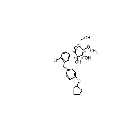 CO[C@H]1[C@H](O)[C@@H](O)[C@H](c2ccc(Cl)c(Cc3ccc(OC4CCCC4)cc3)c2)O[C@@H]1CO